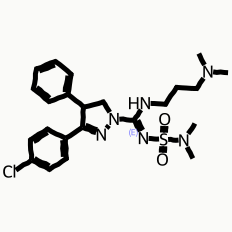 CN(C)CCCN/C(=N\S(=O)(=O)N(C)C)N1CC(c2ccccc2)C(c2ccc(Cl)cc2)=N1